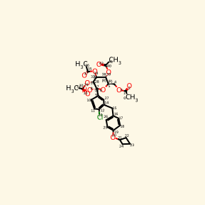 CC(=O)OC[C@H]1O[C@@](O)(c2ccc(Cl)c(Cc3ccc(OC4CCC4)cc3)c2)[C@H](OC(C)=O)[C@@H](OC(C)=O)[C@@H]1OC(C)=O